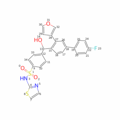 O=S(=O)(Nc1nccs1)c1ccc(C(O)c2ccc(-c3ccc(F)cc3)cc2-c2ccoc2)cc1